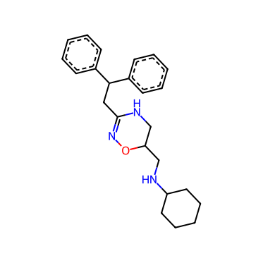 c1ccc(C(CC2=NOC(CNC3CCCCC3)CN2)c2ccccc2)cc1